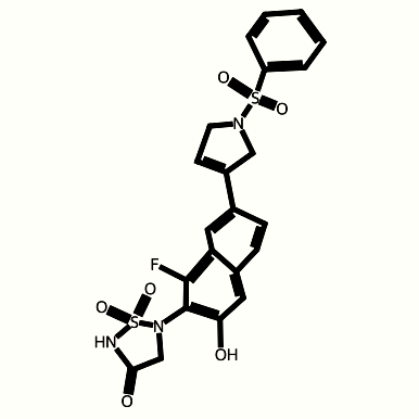 O=C1CN(c2c(O)cc3ccc(C4=CCN(S(=O)(=O)c5ccccc5)C4)cc3c2F)S(=O)(=O)N1